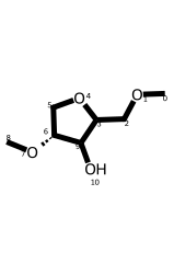 COCC1OC[C@@H](OC)C1O